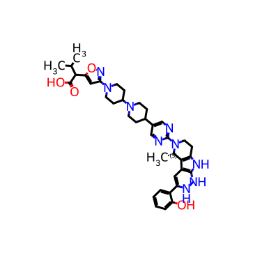 CC(C)C(C(=O)O)c1cc(N2CCC(N3CCC(c4cnc(N5CCc6[nH]c7c(c6[C@@H]5C)C=C(c5ccccc5O)NN7)nc4)CC3)CC2)no1